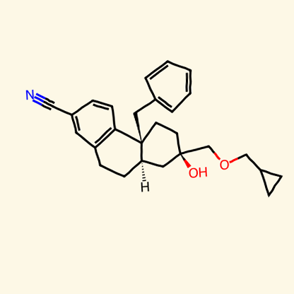 N#Cc1ccc2c(c1)CC[C@@H]1C[C@@](O)(COCC3CC3)CC[C@@]21Cc1ccccc1